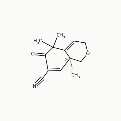 CC1(C)C(=O)C(C#N)=C[C@]2(C)COCC=C12